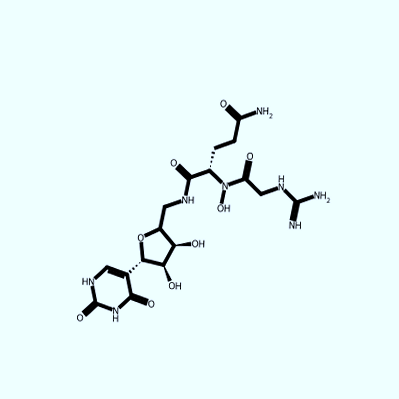 N=C(N)NCC(=O)N(O)[C@@H](CCC(N)=O)C(=O)NCC1O[C@@H](c2c[nH]c(=O)[nH]c2=O)[C@H](O)[C@@H]1O